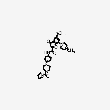 COc1cc(N2CCN(C)CC2)c2oc(C(=O)Nc3ccc(N4CCN(C(=O)N5CCCC5)CC4)cc3)cc(=O)c2c1